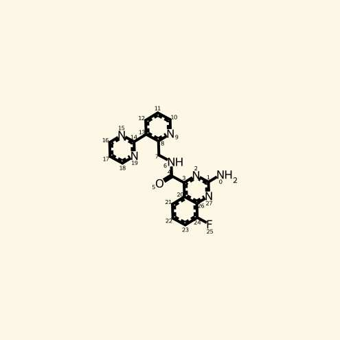 Nc1nc(C(=O)NCc2ncccc2-c2ncccn2)c2cccc(F)c2n1